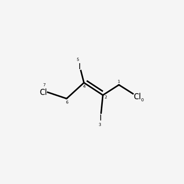 ClCC(I)=C(I)CCl